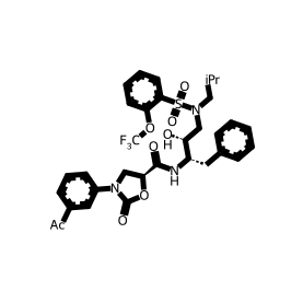 CC(=O)c1cccc(N2C[C@@H](C(=O)N[C@@H](Cc3ccccc3)[C@H](O)CN(CC(C)C)S(=O)(=O)c3ccccc3OC(F)(F)F)OC2=O)c1